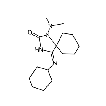 CN(C)N1C(=O)NC(=NC2CCCCC2)C12CCCCC2